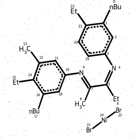 CCCCc1cc(N=C(CC)C(C)=Nc2cc(C)c(CC)c(CCCC)c2)ccc1CC.[Br][Ni][Br]